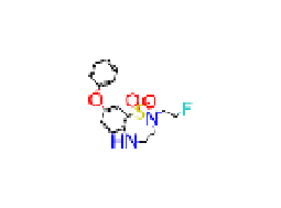 O=S1(=O)c2cc(Oc3ccccc3)ccc2NCCN1CCF